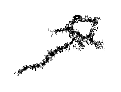 COCCOCCNC(=O)C1NC(=O)[C@H](Cc2ccccc2)NC(=O)CNC(=O)[C@H](CC(=O)O)NC(=O)CNC(=O)[C@H](CCCNC(=N)N)NC(=O)[C@H](CSSC)NC(=O)[C@H](CCCCNC(=O)COCC(=O)NCCOCCOCCOCCOCCOCCNC(=O)CON)NC(=O)CS1